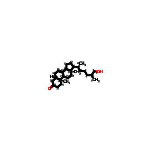 CC(CO)CCC[C@@H](C)C1CCC2C3=CC[C@H]4CC(=O)CC[C@]4(C)C3CC[C@@]21C